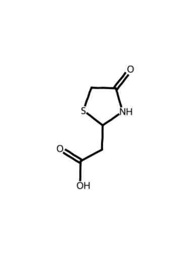 O=C(O)CC1NC(=O)CS1